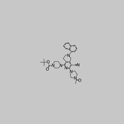 CC(=O)N1CCN(c2nc(N3CCN(C(=O)OC(C)(C)C)CC3)c3c(c2C#N)CN(c2cccc4ccccc24)CC3)CC1